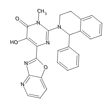 Cn1c(N2CCc3ccccc3C2c2ccccc2)nc(-c2nc3ncccc3o2)c(O)c1=O